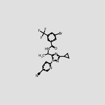 CC(NC(=O)c1cc(Br)cc(C(F)(F)F)c1)c1nc(C2CC2)nn1-c1ccc(C#N)cn1